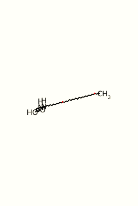 CCCCCCCCCCCCCCCCCCCCCCCCCCCCCCCCCCCNC(=O)Nc1ccc(O)cc1